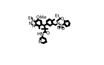 CC[C@@H]1CN(Cc2cc(C(c3cc(OC)c4c(nnn4CC)c3C)C(C)(C)C(=O)Nc3cccnc3)ccc2C)S(=O)(=O)c2ccccc2O1